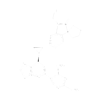 COc1ncc(-c2cc([C@H]3C[C@@H]3c3ccc4c(c3)N(CC(F)(F)F)C(=O)C43CCCC3)c3nccn3n2)c(OC)n1